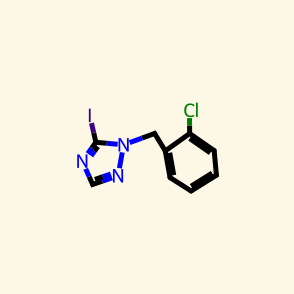 Clc1ccccc1Cn1ncnc1I